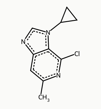 Cc1cc2ncn(C3CC3)c2c(Cl)n1